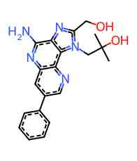 CC(C)(O)Cn1c(CO)nc2c(N)nc3cc(-c4ccccc4)cnc3c21